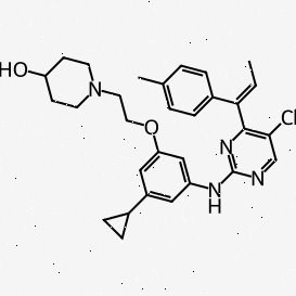 C/C=C(\c1ccc(C)cc1)c1nc(Nc2cc(OCCN3CCC(O)CC3)cc(C3CC3)c2)ncc1Cl